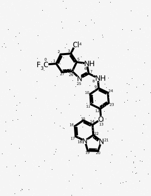 FC(F)(F)c1cc(Cl)c2[nH]c(Nc3ccc(Oc4cccn5ccnc45)cc3)nc2c1